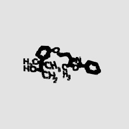 C=C(O)C(C)(C)c1cccc(OCCc2nc(-c3ccccc3)oc2C)c1